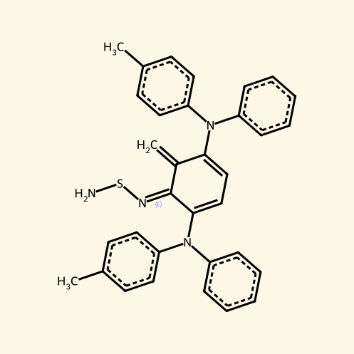 C=C1C(N(c2ccccc2)c2ccc(C)cc2)=CC=C(N(c2ccccc2)c2ccc(C)cc2)/C1=N/SN